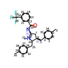 Cc1ccc(/C=C2\C/C(=N\C(=O)c3cccc(C(F)(F)F)c3)N(C)C2Cc2ccc(C)cc2)cc1